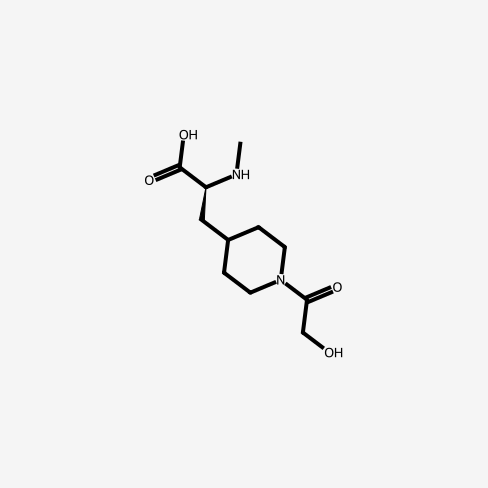 CN[C@@H](CC1CCN(C(=O)CO)CC1)C(=O)O